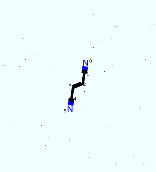 N#CC=CC#N